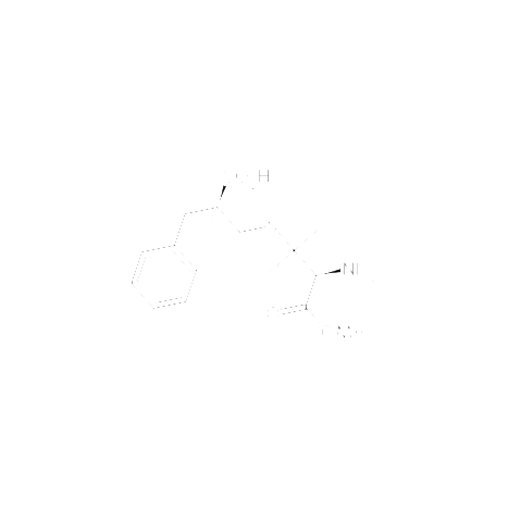 COC(=O)[C@H](N)C(C)(C)SC[C@@H](Cc1ccccc1)C(=O)O